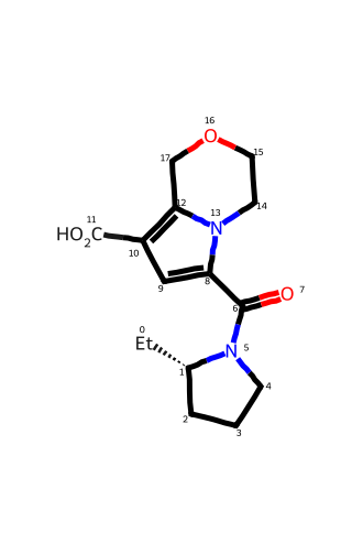 CC[C@H]1CCCN1C(=O)c1cc(C(=O)O)c2n1CCOC2